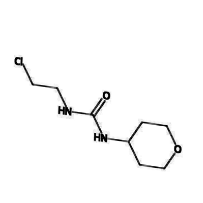 O=C(NCCCl)NC1CCOCC1